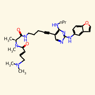 CCCNc1nc(Nc2ccc3occc3c2)ncc1C#CCCCNC(=O)[C@H](C)N(C)C(=O)/C=C/CN(C)C